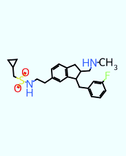 CNCC1Cc2ccc(CCNS(=O)(=O)CC3CC3)cc2C1Cc1cccc(F)c1